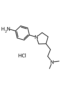 CN(C)CCC1CCN(c2ccc(N)cc2)C1.Cl